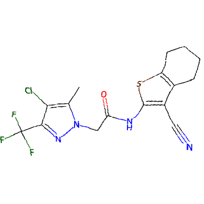 Cc1c(Cl)c(C(F)(F)F)nn1CC(=O)Nc1sc2c(c1C#N)CCCC2